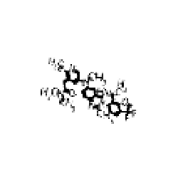 COc1ncc(N(C)c2ccc3nc(C)nc(N[C@H](C)c4cccc5c4OCC5(F)F)c3c2)cc1CC(=O)N(C)C